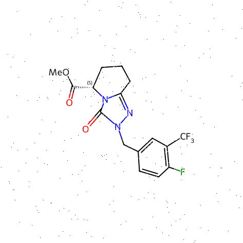 COC(=O)[C@@H]1CCCc2nn(Cc3ccc(F)c(C(F)(F)F)c3)c(=O)n21